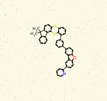 CC1(C)c2ccccc2-c2c1ccc1c2Sc2c(cccc2-c2cccc(-c3ccc4oc5ccc(-c6ccccn6)cc5c4c3)c2)S1